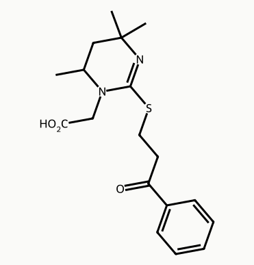 CC1CC(C)(C)N=C(SCCC(=O)c2ccccc2)N1CC(=O)O